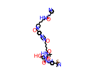 Cc1ncsc1-c1ccc(CNC(=O)[C@@H]2C[C@@H](O)CN2C(=O)[C@@H](NC(=O)CCCCCC(=O)N2CCN(c3ccc(C(=O)N4CCC(CCCCNC(=O)/C=C/c5cccnc5)CC4)cc3)CC2)C(C)(C)C)cc1